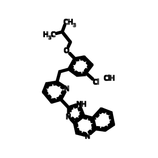 CC(C)COc1ccc(Cl)cc1Cc1cccc(-c2nc3cnc4ccccc4c3[nH]2)n1.Cl